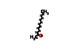 CCCCCCCC=CCCC(C)=O